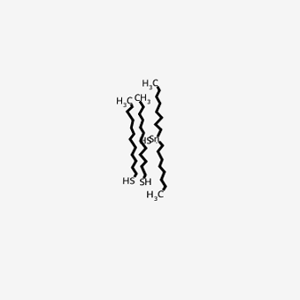 CCCCCCCCCCCCS.CCCCCCCCCCCCS.CCCCCCC[CH2][Sn]([SH])[CH2]CCCCCCC